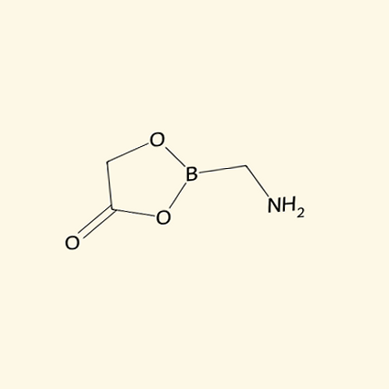 NCB1OCC(=O)O1